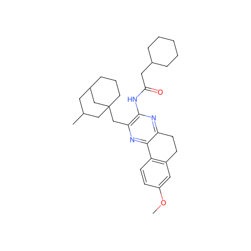 COc1ccc2c(c1)CCc1nc(NC(=O)CC3CCCCC3)c(CC34CCCC(CC(C)C3)C4)nc1-2